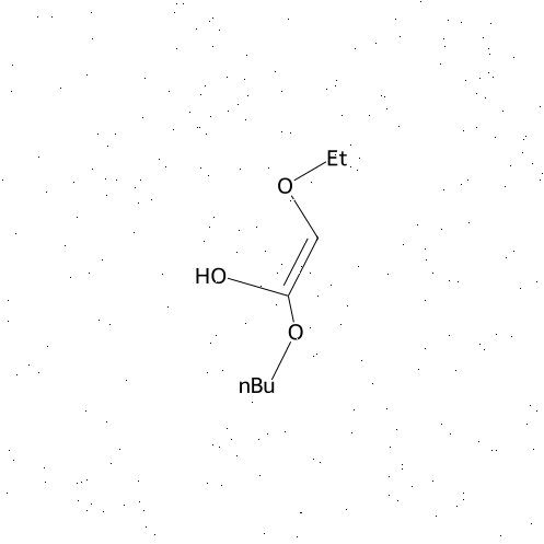 CCCCO/C(O)=C/OCC